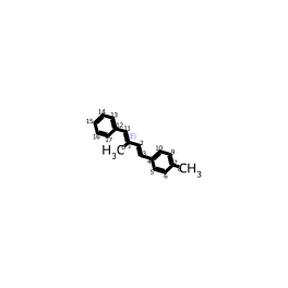 C/C(C=Cc1ccc(C)cc1)=C\c1ccccc1